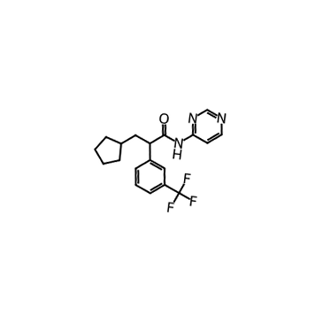 O=C(Nc1ccncn1)C(CC1CCCC1)c1cccc(C(F)(F)F)c1